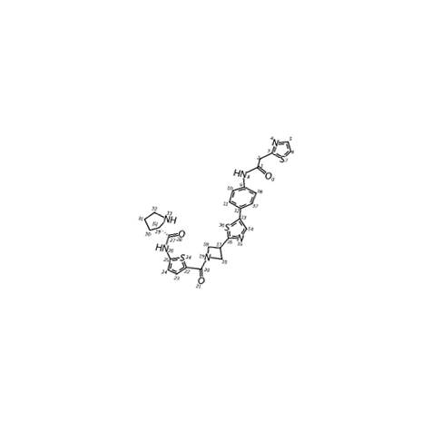 O=C(Cc1nccs1)Nc1ccc(-c2cnc(C3CN(C(=O)c4ccc(NC(=O)[C@@H]5CCCN5)s4)C3)s2)cc1